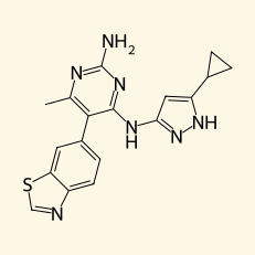 Cc1nc(N)nc(Nc2cc(C3CC3)[nH]n2)c1-c1ccc2ncsc2c1